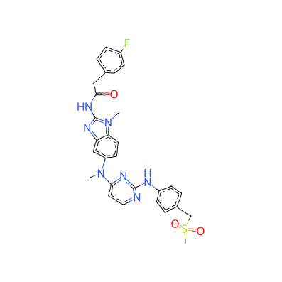 CN(c1ccc2c(c1)nc(NC(=O)Cc1ccc(F)cc1)n2C)c1ccnc(Nc2ccc(CS(C)(=O)=O)cc2)n1